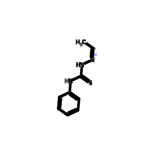 C/[C]=N\NC(=S)Nc1ccccc1